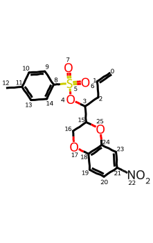 C=CCC(OS(=O)(=O)c1ccc(C)cc1)C1COc2ccc([N+](=O)[O-])cc2O1